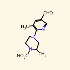 Cc1cc(C=O)cnc1N1CCN(C(=O)O)C(C)C1